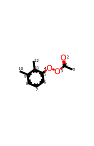 CC(=O)OOc1cccc(C)c1C